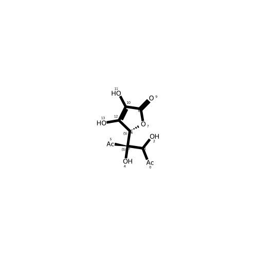 CC(=O)C(O)[C@@](O)(C(C)=O)[C@H]1OC(=O)C(O)=C1O